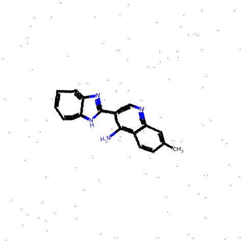 Cc1ccc2c(N)c(-c3nc4ccccc4[nH]3)cnc2c1